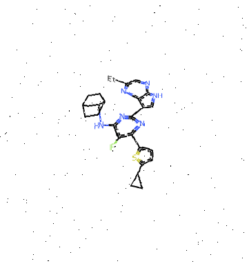 CCc1cnc2[nH]cc(-c3nc(NC4CC5CCC4CC5)c(F)c(-c4ccc(C5CC5)s4)n3)c2n1